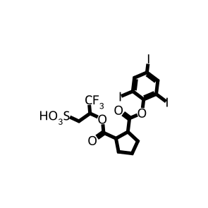 O=C(Oc1c(I)cc(I)cc1I)C1CCCC1C(=O)OC(CS(=O)(=O)O)C(F)(F)F